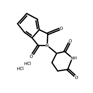 Cl.Cl.O=C1CCC(N2C(=O)c3ccccc3C2=O)C(=O)N1